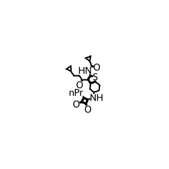 CCCc1c(NC2CCc3sc(NC(=O)C4CC4)c(C(=O)CCC4CC4)c3C2)c(=O)c1=O